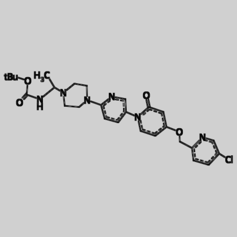 CC(NC(=O)OC(C)(C)C)N1CCN(c2ccc(-n3ccc(OCc4ccc(Cl)cn4)cc3=O)cn2)CC1